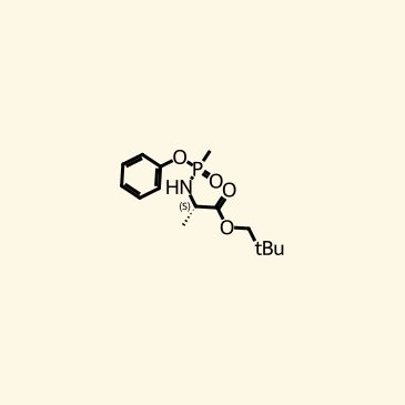 C[C@H](NP(C)(=O)Oc1ccccc1)C(=O)OCC(C)(C)C